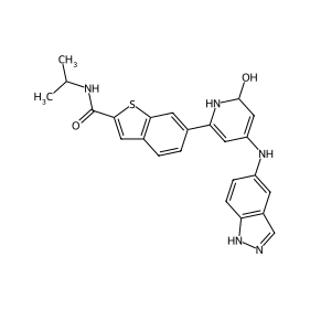 CC(C)NC(=O)c1cc2ccc(C3=CC(Nc4ccc5[nH]ncc5c4)=CC(O)N3)cc2s1